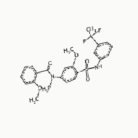 COc1ccccc1C(=O)N(P)c1ccc(S(=O)(=O)Nc2cccc(C(C)(F)F)c2)c(OC)c1